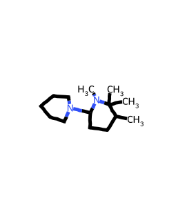 CC1CCC(N2CCCCC2)N(C)C1(C)C